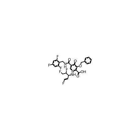 O=C(NCc1c(F)cc(F)cc1F)c1cn(NC(C=CF)C(F)CF)c(C(=O)O)c(OCc2ccccc2)c1=O